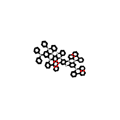 c1ccc(-c2ccccc2N(c2ccccc2)c2cc3c4c(c2)N(c2ccccc2-c2ccccc2)c2ccccc2B4c2cc4c(cc2O3)N(c2ccccc2)c2cc3c(c5c2B4c2ccccc2O5)B2c4ccccc4N(c4ccccc4)c4cc(N(c5ccccc5)c5ccccc5)cc(c42)N3c2ccccc2-c2ccccc2)cc1